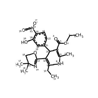 CCOC(=O)C1=C(C)NC(CC)=C(C2=NC(C)(C)CO2)C1c1ccc([N+](=O)[O-])c(O)c1